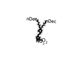 CCCCCCCCCCCCCCCCN(CCCCCCCCCCCCCCCC)c1ccc(C=Cc2ccc([N+](=O)[O-])c([N+](=O)[O-])c2)cc1